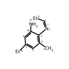 CC/C=N\c1c(C)cc(CC)cc1N